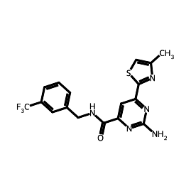 Cc1csc(-c2cc(C(=O)NCc3cccc(C(F)(F)F)c3)nc(N)n2)n1